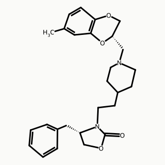 Cc1ccc2c(c1)O[C@@H](CN1CCC(CCN3C(=O)OC[C@@H]3Cc3ccccc3)CC1)CO2